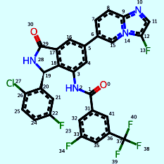 O=C(Nc1cc(-c2ccc3ncc(F)n3c2)cc2c1[C@@H](c1cc(F)ccc1Cl)NC2=O)c1cc(F)cc(C(F)(F)F)c1